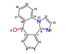 O=c1c2ccccc2c2nccn2c2ccccc12